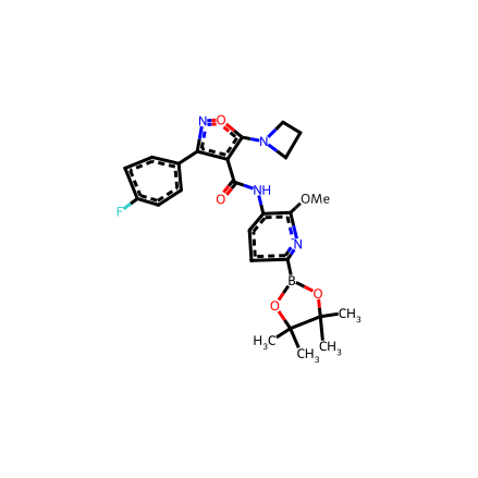 COc1nc(B2OC(C)(C)C(C)(C)O2)ccc1NC(=O)c1c(-c2ccc(F)cc2)noc1N1CCC1